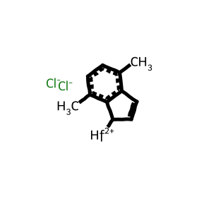 Cc1ccc(C)c2c1C=C[CH]2[Hf+2].[Cl-].[Cl-]